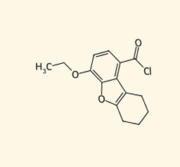 CCOc1ccc(C(=O)Cl)c2c3c(oc12)CCCC3